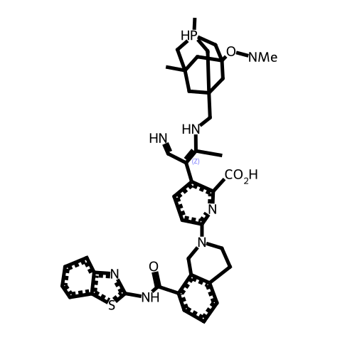 CNOC12CC3(C)CC(CN/C(C)=C(\C=N)c4ccc(N5CCc6cccc(C(=O)Nc7nc8ccccc8s7)c6C5)nc4C(=O)O)(C1)C[PH](C)(C3)C2